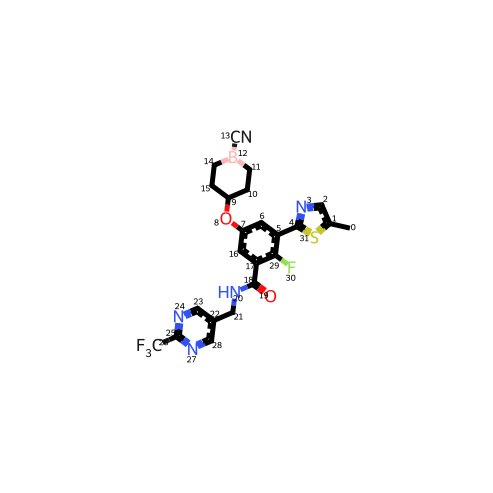 Cc1cnc(-c2cc(OC3CCB(C#N)CC3)cc(C(=O)NCc3cnc(C(F)(F)F)nc3)c2F)s1